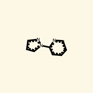 [c]1cccc(-n2cccn2)n1